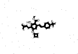 COC(=O)c1c(C=Cc2ccc(C(F)(F)F)cc2)cc(OC2CCC2)c(CC=C(C)C)c1O